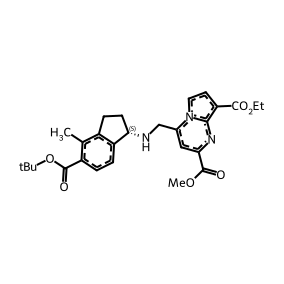 CCOC(=O)c1ccn2c(CN[C@H]3CCc4c3ccc(C(=O)OC(C)(C)C)c4C)cc(C(=O)OC)nc12